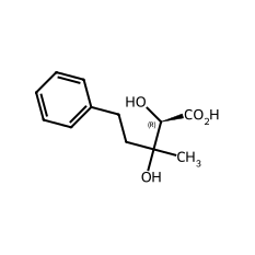 CC(O)(CCc1ccccc1)[C@@H](O)C(=O)O